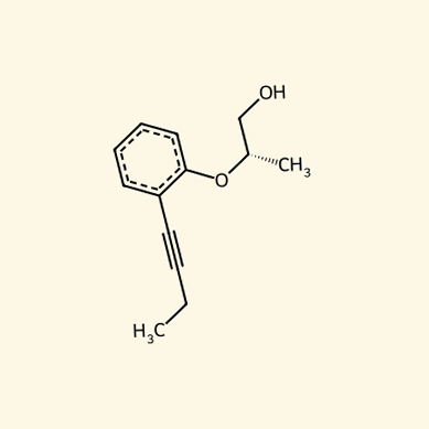 CCC#Cc1ccccc1O[C@@H](C)CO